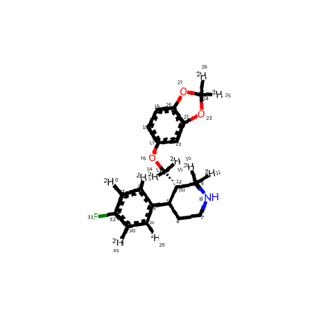 [2H]c1c([2H])c(C2CCNC([2H])([2H])[C@H]2C([2H])([2H])Oc2ccc3c(c2)OC([2H])([2H])O3)c([2H])c([2H])c1F